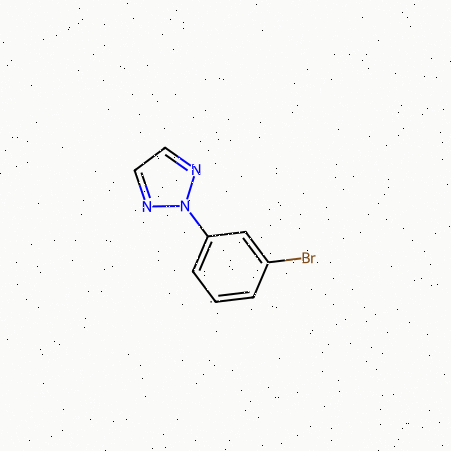 Brc1c[c]cc(-n2nccn2)c1